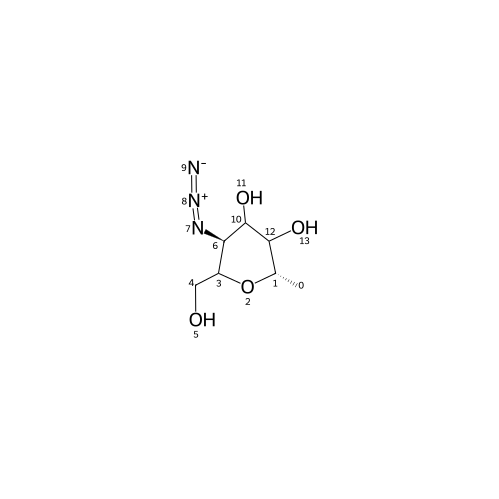 C[C@@H]1OC(CO)[C@@H](N=[N+]=[N-])C(O)C1O